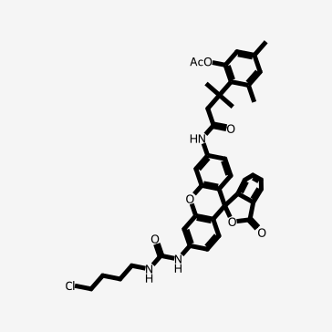 CC(=O)Oc1cc(C)cc(C)c1C(C)(C)CC(=O)Nc1ccc2c(c1)Oc1cc(NC(=O)NCCCCCl)ccc1C21OC(=O)c2ccccc21